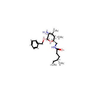 CC(=O)OC[C@H](CCC(=O)NC[C@H]1O[C@H](OCc2ccccc2)[C@H](N)[C@@H](OC(C)=O)[C@@H]1OC(C)=O)OC(C)=O